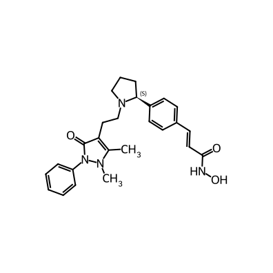 Cc1c(CCN2CCC[C@H]2c2ccc(C=CC(=O)NO)cc2)c(=O)n(-c2ccccc2)n1C